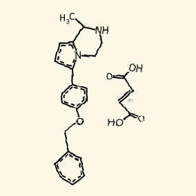 CC1NCCn2c(-c3ccc(OCc4ccccc4)cc3)ccc21.O=C(O)/C=C/C(=O)O